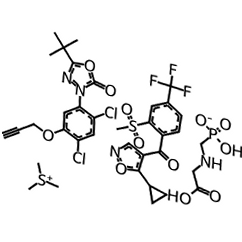 C#CCOc1cc(-n2nc(C(C)(C)C)oc2=O)c(Cl)cc1Cl.CS(=O)(=O)c1cc(C(F)(F)F)ccc1C(=O)c1cnoc1C1CC1.C[S+](C)C.O=C(O)CNCP(=O)([O-])O